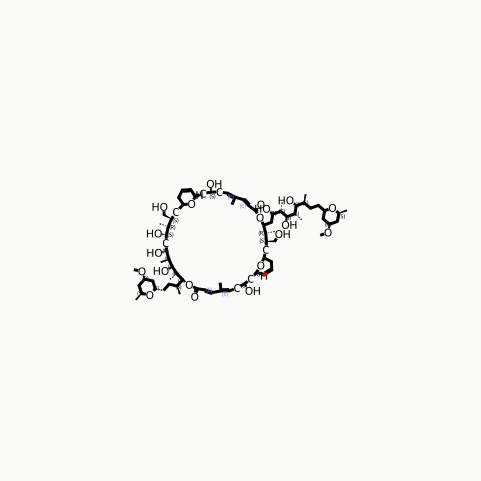 CO[C@H]1CC(CC[C@H](C)[C@H](O)[C@H](C)[C@@H](O)[C@@H](C)[C@H](O)CC2OC(=O)/C=C/C(C)=C/C[C@H](O)C[C@@H]3C=CCC(C[C@H](CO)[C@@H](C)[C@@H](O)C[C@@H](O)[C@H](C)[C@H](O)[C@@H](C)[C@H]([C@@H](C)CC[C@H]4C[C@H](OC)C[C@H](C)O4)OC(=O)/C=C/C(C)=C/C[C@H](O)C[C@@H]4C=CCC(C[C@H](CO)[C@H]2C)O4)O3)O[C@@H](C)C1